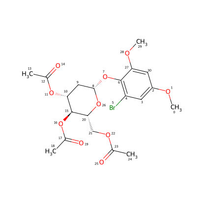 COc1cc(Br)c(O[C@H]2C[C@@H](OC(C)=O)[C@H](OC(C)=O)[C@@H](COC(C)=O)O2)c(OC)c1